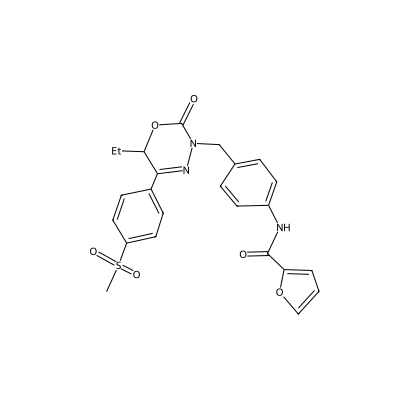 CCC1OC(=O)N(Cc2ccc(NC(=O)c3ccco3)cc2)N=C1c1ccc(S(C)(=O)=O)cc1